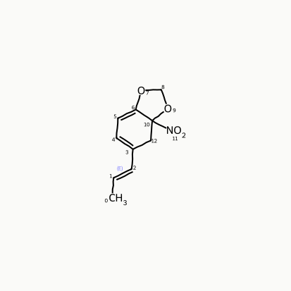 C/C=C/C1=CC=C2OCOC2([N+](=O)[O-])C1